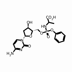 CC(NP(=O)(OC[C@@H]1O[C@H](n2ccc(N)nc2=O)C[C@H]1O)Oc1ccccc1)C(=O)O